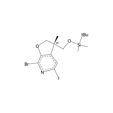 CC(C)(C)[Si](C)(C)OC[C@@]1(C)COc2c1cc(I)nc2Br